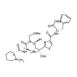 CC[C@H](C)[C@H](NC(=O)[C@H]1CCCCN1C)C(=O)N(COC)[C@H](C[C@@H](OC(C)=O)c1nc(C(=O)N[C@@H](Cc2ccccc2)C(=O)OC)cs1)C(C)C